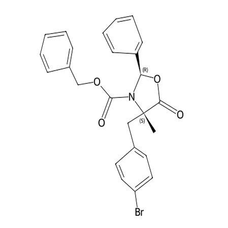 C[C@]1(Cc2ccc(Br)cc2)C(=O)O[C@H](c2ccccc2)N1C(=O)OCc1ccccc1